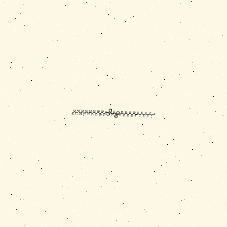 CCCCCCCCC=CCCCCCCCCOC(=O)C=CC(=O)OCCCCCCCCC=CCCCCCCCC